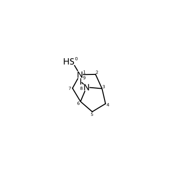 SN1CC2CCC(C1)N2I